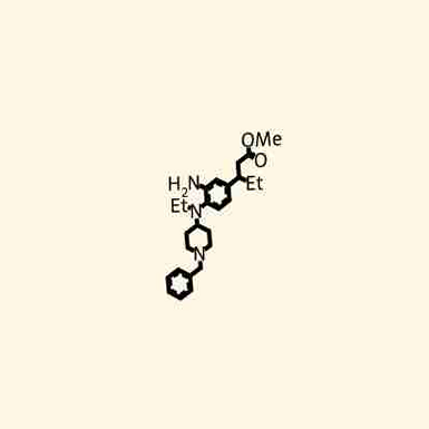 CCC(CC(=O)OC)c1ccc(N(CC)C2CCN(Cc3ccccc3)CC2)c(N)c1